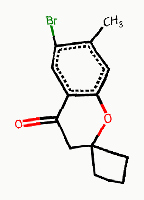 Cc1cc2c(cc1Br)C(=O)CC1(CCC1)O2